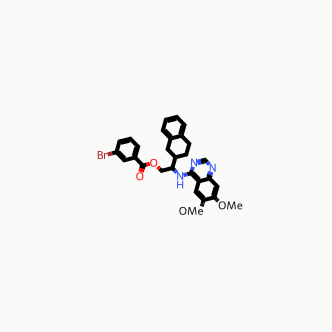 COc1cc2ncnc(NC(COC(=O)c3cccc(Br)c3)C3CCc4ccccc4C3)c2cc1OC